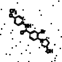 O=C(Nc1ccc(OC(F)(F)F)cc1)c1ccc(N2CCC(O)C2)c(Br)c1